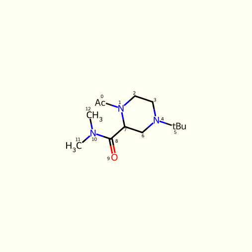 CC(=O)N1CCN(C(C)(C)C)CC1C(=O)N(C)C